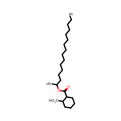 CCCC(CCCCCCCCCCCCCC(C)C)OC(=O)C1CCCCC1C(=O)O